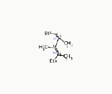 CC/[C]=C(C)\C(C)=C(/C)CC